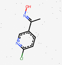 CC(=NO)c1ccc(Cl)nc1